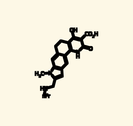 CCCNCc1cc2cc3c(cc2n1C)CCc1c-3[nH]c(=O)c(C(=O)O)c1O